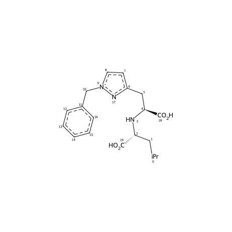 CC(C)C[C@@H](N[C@@H](Cc1ccn(Cc2ccccc2)n1)C(=O)O)C(=O)O